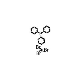 [Br][Au]([Br])[Br].c1ccc(P(c2ccccc2)c2ccccc2)cc1